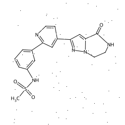 CS(=O)(=O)Nc1cccc(-c2cc(-c3cc4n(n3)CCNC4=O)ccn2)c1